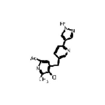 CCn1cc(-c2ccc(Cc3cc(C(C)=O)nc(C)c3Cl)cn2)cn1